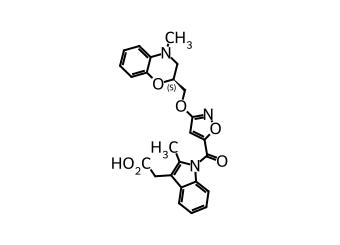 Cc1c(CC(=O)O)c2ccccc2n1C(=O)c1cc(OC[C@@H]2CN(C)c3ccccc3O2)no1